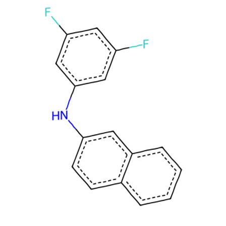 Fc1cc(F)cc(Nc2ccc3ccccc3c2)c1